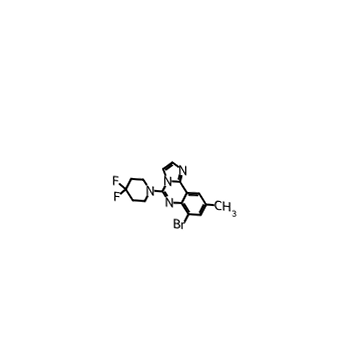 Cc1cc(Br)c2nc(N3CCC(F)(F)CC3)n3ccnc3c2c1